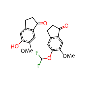 COc1cc2c(cc1O)CCC2=O.COc1cc2c(cc1OC(F)F)CCC2=O